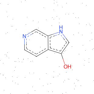 Oc1c[nH]c2cnccc12